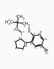 CC(C)(C)OC[C@H]1CCCN1c1cc(Br)cnc1F